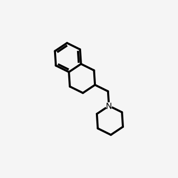 c1ccc2c(c1)CCC(CN1CCCCC1)C2